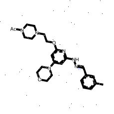 CC(=O)N1CCN(CCOc2cc(N3CCOCC3)cc(N/N=C/c3cccc(C)c3)n2)CC1